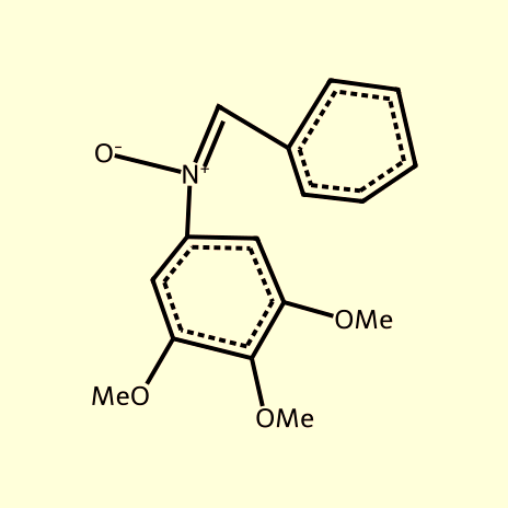 COc1cc(/[N+]([O-])=C\c2ccccc2)cc(OC)c1OC